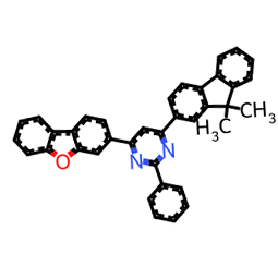 CC1(C)c2ccccc2-c2ccc(-c3cc(-c4ccc5c(c4)oc4ccccc45)nc(-c4ccccc4)n3)cc21